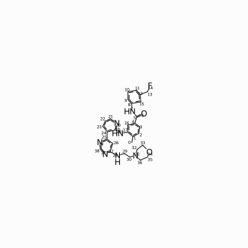 Cc1ccc(C(=O)Nc2cccc(CF)c2)cc1Nc1ncccc1-c1cc(NCCN2CCOCC2)ncn1